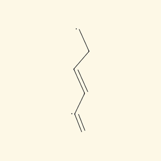 [CH2]CC=C[C]=C